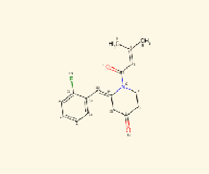 CC(C)=CC(=O)N1CCC(=O)CC1=Cc1ccccc1F